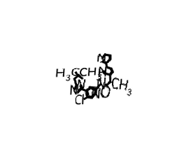 C[C@H](C(=O)Nc1cc(-c2cnc3n2CC(C)(C)C3)c(Cl)cn1)c1ccc(-c2cccnc2)nc1